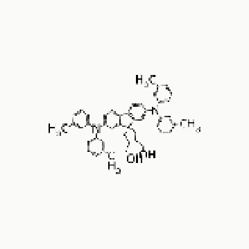 Cc1cccc(N(c2cccc(C)c2)c2ccc3c(c2)C(CCCO)(CCCO)c2cc(N(c4cccc(C)c4)c4cccc(C)c4)ccc2-3)c1